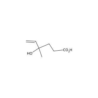 C=CC(C)(O)CCC(=O)O